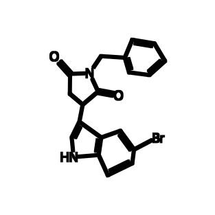 O=C1CC(c2c[nH]c3ccc(Br)cc23)C(=O)N1Cc1ccccc1